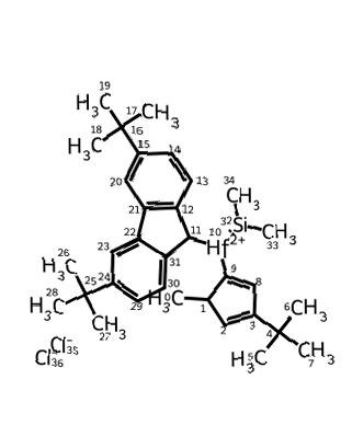 CC1C=C(C(C)(C)C)C=[C]1[Hf+2]([CH]1c2ccc(C(C)(C)C)cc2-c2cc(C(C)(C)C)ccc21)=[Si](C)C.[Cl-].[Cl-]